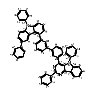 c1ccc(-c2ccc3c(c2)c2c(-c4cccc(-c5cccc(-c6nc(-c7ccccc7)nc7c8ccccc8n(-c8ccccc8)c67)c5)c4)cccc2n3-c2ccccc2)cc1